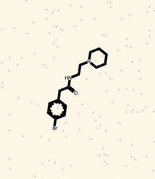 O=C(Cc1ccc(Br)cc1)NCCN1CCCCC1